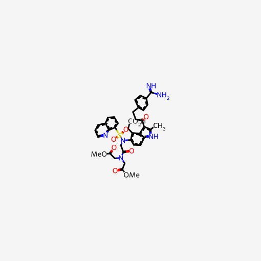 COC(=O)CN(CC(=O)OC)C(=O)CN(c1ccc2[nH]c(C)c(C(=O)CCc3ccc(C(=N)N)cc3)c2c1CC(=O)O)S(=O)(=O)c1cccc2cccnc12